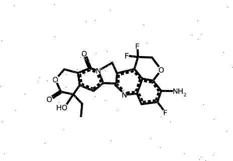 CCC1(O)C(=O)OCc2c1cc1n(c2=O)Cc2c-1nc1cc(F)c(N)c3c1c2C(F)(F)CO3